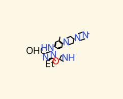 CCc1nc(C=O)c(Nc2ccc(N3CCC(N4CCN(C)CC4)CC3)c(C)c2)nc1OC1CNC1